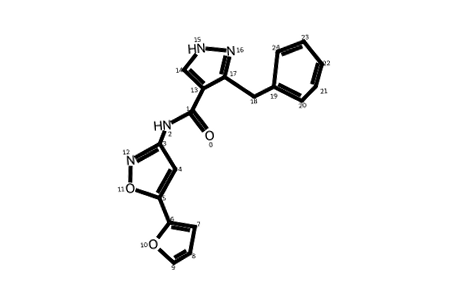 O=C(Nc1cc(-c2ccco2)on1)c1c[nH]nc1Cc1ccccc1